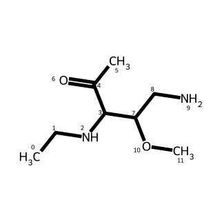 CCNC(C(C)=O)C(CN)OC